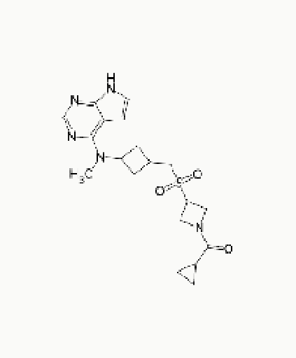 CN(c1ncnc2[nH]ccc12)C1CC(CS(=O)(=O)C2CN(C(=O)C3CC3)C2)C1